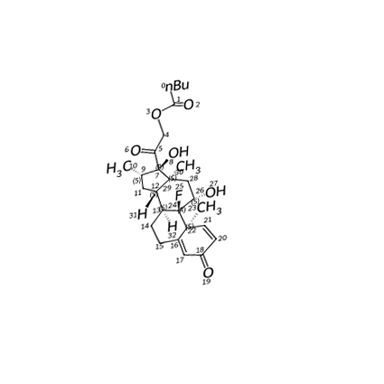 CCCCC(=O)OCC(=O)[C@@]1(O)[C@@H](C)C[C@H]2[C@@H]3CCC4=CC(=O)C=C[C@]4(C)[C@@]3(F)[C@@H](O)C[C@@]21C